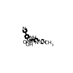 CN1CCN(c2ccc(C(=O)Nc3cc(-c4ccncc4)ccc3NC(=O)O)cn2)CC1